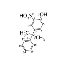 CC(C)(C1=CCC(O)C(S(=O)(=O)O)=C1)c1ccccc1